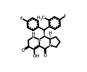 Cc1cc(F)ccc1C(c1ccc(F)cc1)[C@H]1[C@H]2CCCN2C(=O)C2=C(O)C(=O)CNN21